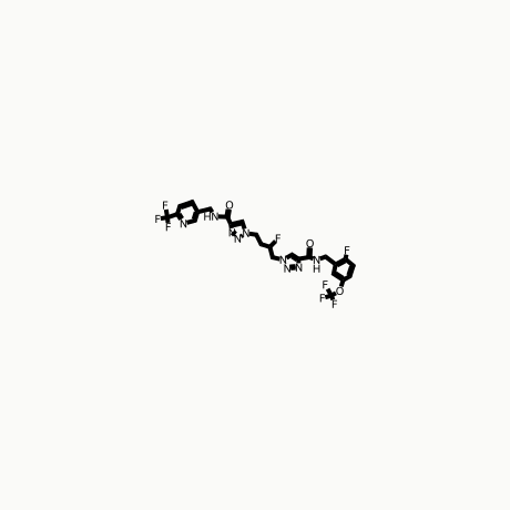 O=C(NCc1ccc(C(F)(F)F)nc1)c1cn(CCC(F)Cn2cc(C(=O)NCc3cc(OC(F)(F)F)ccc3F)nn2)nn1